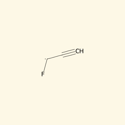 C#C[CH]F